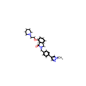 Cn1cc(-c2ccc(CN3Cc4cccc(OCCN5CCCCC5)c4C3=O)cc2)cn1